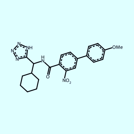 COc1ccc(-c2ccc(C(=O)NC(c3nnn[nH]3)C3CCCCC3)c([N+](=O)[O-])c2)cc1